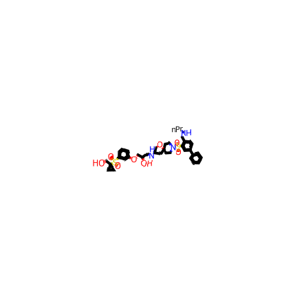 CCCNCc1ccc(-c2ccccc2)cc1S(=O)(=O)N1CCC2(CC1)C[C@H](NCC(O)COc1cccc(S(=O)(=O)C3(CO)CC3)c1)CO2